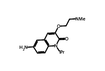 CNCCOc1cc2cc(N)ccc2n(C(C)C)c1=O